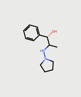 CC(NN1CCCC1)[C@@H](O)c1ccccc1